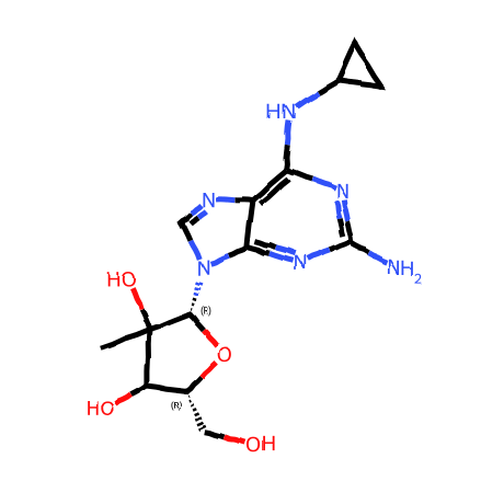 CC1(O)C(O)[C@@H](CO)O[C@H]1n1cnc2c(NC3CC3)nc(N)nc21